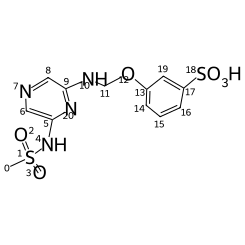 CS(=O)(=O)Nc1cncc(NCOc2cccc(S(=O)(=O)O)c2)n1